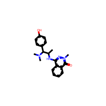 CC(Nc1nn(C)c(=O)c2ccccc12)C(c1ccc(O)cc1)N(C)C